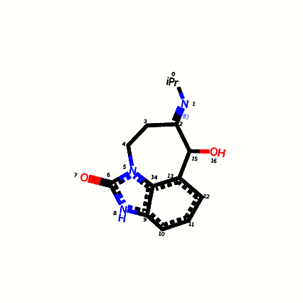 CC(C)/N=C1\CCn2c(=O)[nH]c3cccc(c32)C1O